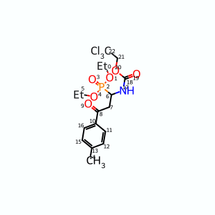 CCOP(=O)(OCC)C(CC(=O)c1ccc(C)cc1)NC(=O)OCC(Cl)(Cl)Cl